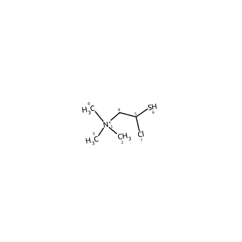 C[N+](C)(C)CC(S)Cl